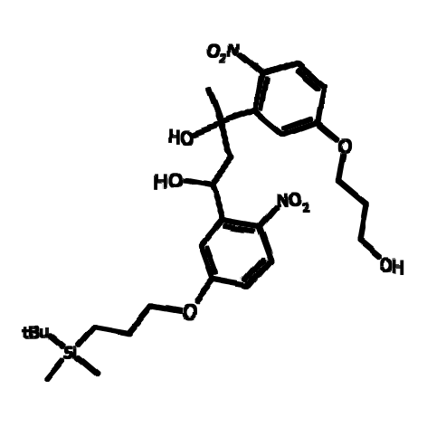 CC(O)(CC(O)c1cc(OCCC[Si](C)(C)C(C)(C)C)ccc1[N+](=O)[O-])c1cc(OCCCO)ccc1[N+](=O)[O-]